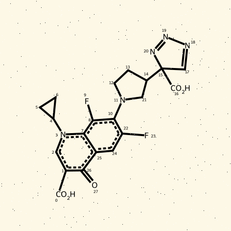 O=C(O)c1cn(C2CC2)c2c(F)c(N3CCC(C4(C(=O)O)C=NN=N4)C3)c(F)cc2c1=O